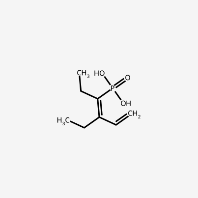 C=CC(CC)=C(CC)P(=O)(O)O